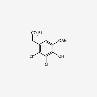 CCOC(=O)Cc1cc(OC)c(O)c(Cl)c1Cl